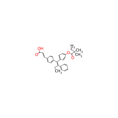 CC/C(=C(\c1ccc(/C=C/C(=O)O)cc1)c1ccc(OC(=O)C(C)(C)C)cc1)c1ccccc1